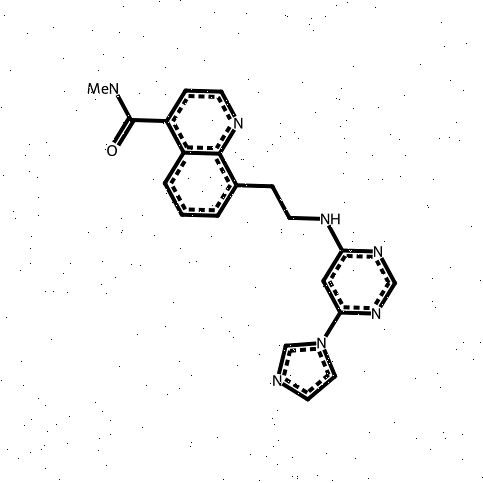 CNC(=O)c1ccnc2c(CCNc3cc(-n4ccnc4)ncn3)cccc12